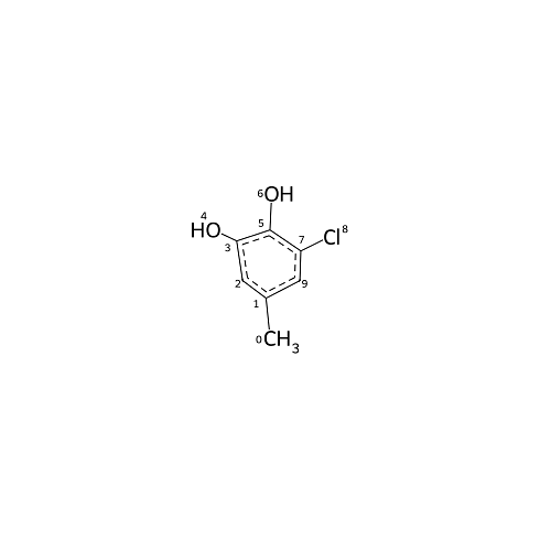 Cc1cc(O)c(O)c(Cl)c1